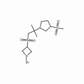 CC(C)N1CC(S(=O)(=O)CC(C)(C)N2CCC(S(C)(=O)=O)C2)C1